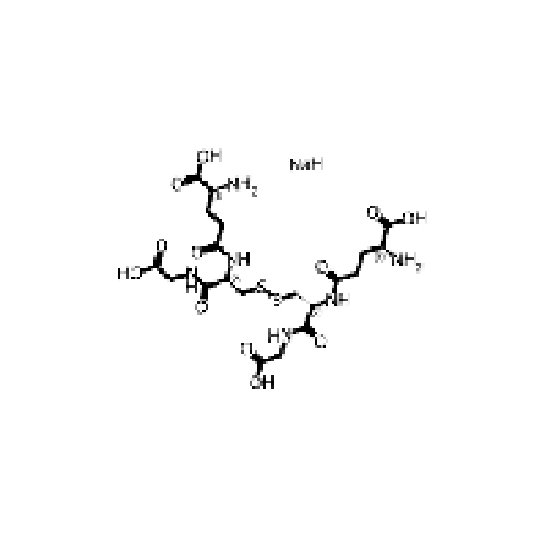 N[C@@H](CCC(=O)N[C@@H](CSSC[C@H](NC(=O)CC[C@H](N)C(=O)O)C(=O)NCC(=O)O)C(=O)NCC(=O)O)C(=O)O.[NaH]